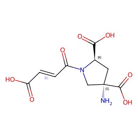 N[C@@]1(C(=O)O)C[C@H](C(=O)O)N(C(=O)/C=C/C(=O)O)C1